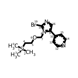 C[Si](C)(C)CCOCn1c(-c2ccncc2)cnc1Br